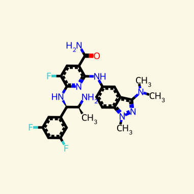 C[C@H](N)[C@H](Nc1nc(Nc2ccc3c(c2)c(N(C)C)nn3C)c(C(N)=O)cc1F)c1cc(F)cc(F)c1